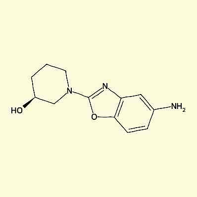 Nc1ccc2oc(N3CCC[C@H](O)C3)nc2c1